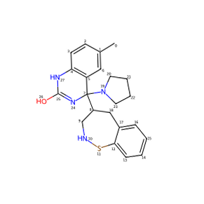 Cc1ccc2c(c1)C(C1CNSc3ccccc3C1)(N1C[CH]CC1)N=C(O)N2